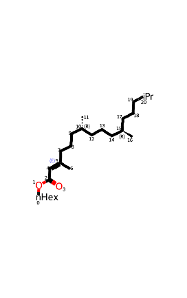 CCCCCCOC(=O)/C=C(\C)CCC[C@H](C)CCC[C@H](C)CCCC(C)C